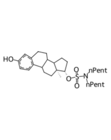 CCCCCN(CCCCC)S(=O)(=O)O[C@H]1CCC2C3CCc4cc(O)ccc4C3CC[C@@]21C